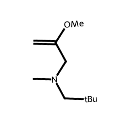 C=C(CN(C)CC(C)(C)C)OC